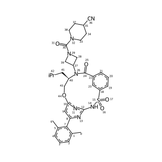 Cc1cccc(C)c1-c1cc2nc(n1)NS(=O)(=O)c1cccc(c1)C(=O)N(C1CN(C(=O)N3CCC(C#N)CC3)C1)[C@H](CC(C)C)CO2